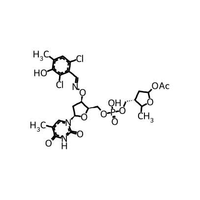 CC(=O)OC1C[C@@H](COP(=O)(O)OC[C@H]2O[C@@H](n3cc(C)c(=O)[nH]c3=O)C[C@H]2O/N=C/c2c(Cl)cc(C)c(O)c2Cl)C(C)O1